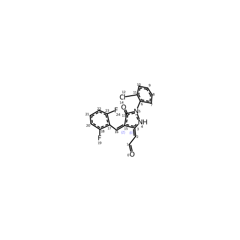 O=C/C=c1/[nH]n(-c2ccccc2Cl)c(=O)/c1=C\c1c(F)cccc1F